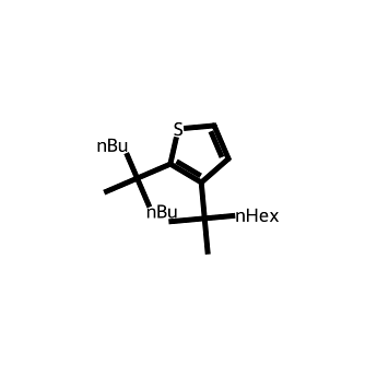 CCCCCCC(C)(C)c1ccsc1C(C)(CCCC)CCCC